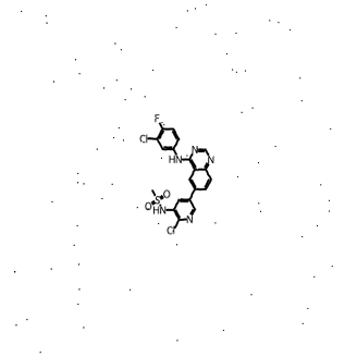 CS(=O)(=O)Nc1cc(-c2ccc3ncnc(Nc4ccc(F)c(Cl)c4)c3c2)cnc1Cl